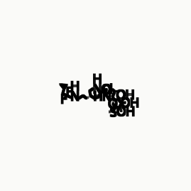 CSC1O[C@H]([C@H](NC(=O)[C@@H]2CC[C@H](CCCNCC(F)(F)CC3CC3)CCN2)[C@H](C)Cl)C(O)C(O)[C@H]1O